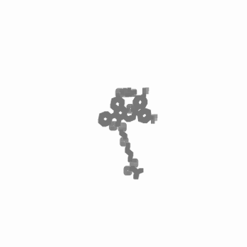 C=C(C)C(=O)OCCCCOCCOC(=O)c1c2c(c3cc(OC)ccc3c1-c1ccccc1)OC(c1ccc(F)cc1)(c1ccc(F)cc1)C=C2